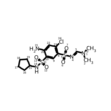 CN(C)C=NS(=O)(=O)c1cc(S(=O)(=O)NC2CCCC2)c(N)cc1Cl